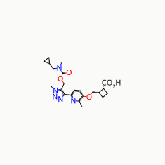 Cc1nc(-c2nnn(C)c2COC(=O)N(C)CC2CC2)ccc1OC[C@@H]1CC[C@H]1C(=O)O